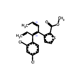 C=C/C(=C(\C=C/C)c1ccsc1C(=O)OC)c1ccc(Cl)cc1Cl